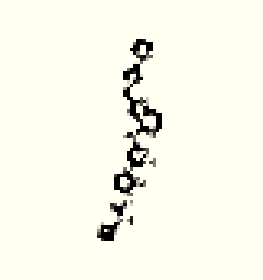 O=C(NC12CC(C1)C2)O[C@@H]1CC[C@H](c2cc(Nc3nccc4nc(CN5CC(n6cccn6)C5)cn34)n[nH]2)[C@H]1F